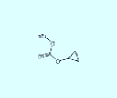 CCCCOC(=O)OC1CC1